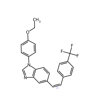 CCOc1ccc(-n2cnc3cc(/C=C\c4ccc(C(F)(F)F)cc4)ccc32)cc1